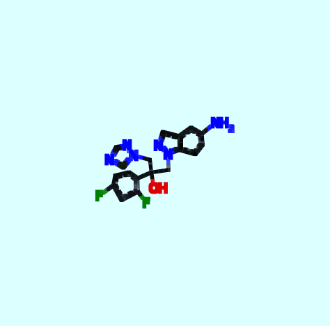 Nc1ccc2c(cnn2CC(O)(Cn2cncn2)c2ccc(F)cc2F)c1